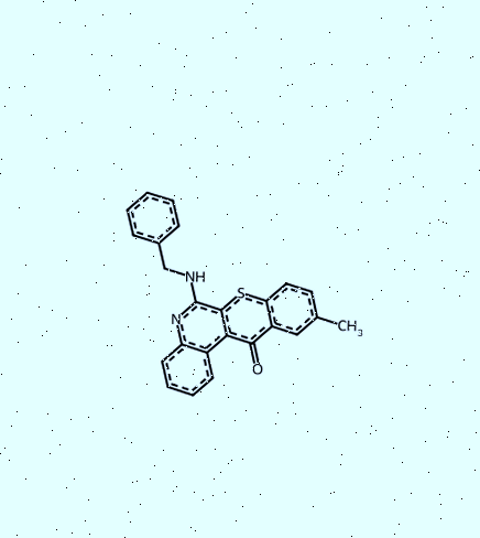 Cc1ccc2sc3c(NCc4ccccc4)nc4ccccc4c3c(=O)c2c1